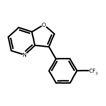 FC(F)(F)c1cccc(-c2coc3cccnc23)c1